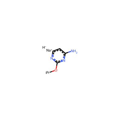 CC(C)Oc1nccc(N)n1.[H-].[Na+]